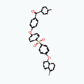 Cc1ccc(C(=O)c2ccc(Oc3ccc(S(=O)(=O)c4ccc(Oc5cccc6c(C)cccc56)cc4)cc3)cc2)cc1